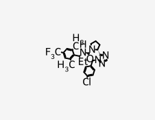 CC[C@H](NC(=O)N1CCC[C@@H]1c1ncnn1Cc1ccc(Cl)cc1)c1c(C)cc(C(F)(F)F)cc1C